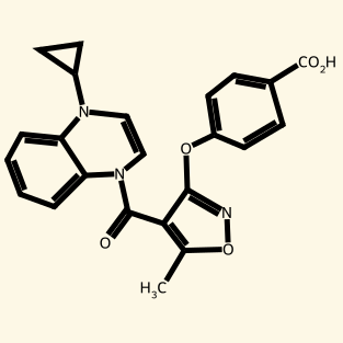 Cc1onc(Oc2ccc(C(=O)O)cc2)c1C(=O)N1C=CN(C2CC2)c2ccccc21